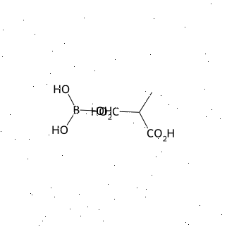 CC(C(=O)O)C(=O)O.OB(O)O